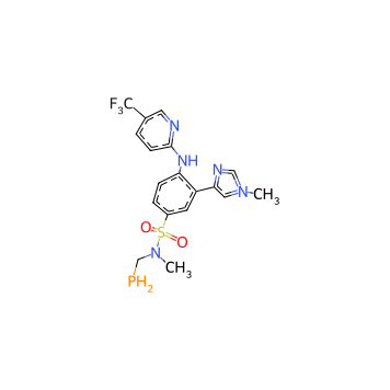 CN(CP)S(=O)(=O)c1ccc(Nc2ccc(C(F)(F)F)cn2)c(-c2cn(C)cn2)c1